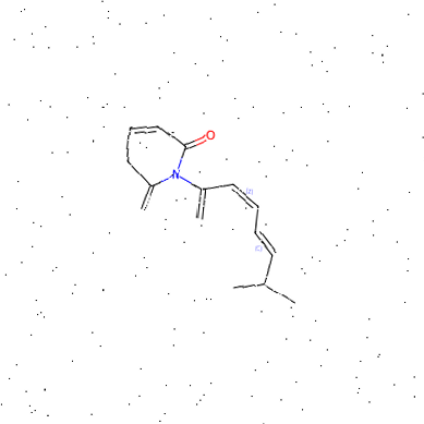 C=C(/C=C\C=C\C(C)C)N1C(=C)CC=CC1=O